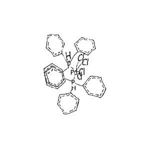 [Cl][Pd]([Cl])([Cl])([Cl])([PH](c1ccccc1)(c1ccccc1)c1ccccc1)[PH](c1ccccc1)(c1ccccc1)c1ccccc1